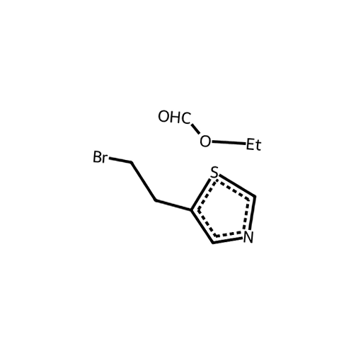 BrCCc1cncs1.CCOC=O